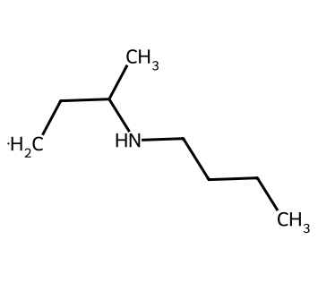 [CH2]CC(C)NCCCC